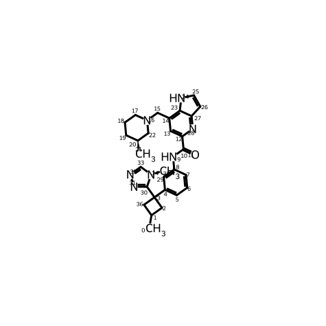 CC1CC(c2cccc(NC(=O)c3cc(CN4CCC[C@H](C)C4)c4[nH]ccc4n3)c2)(c2nncn2C)C1